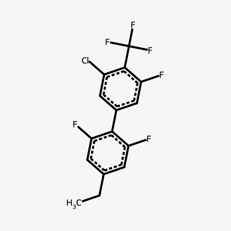 CCc1cc(F)c(-c2cc(F)c(C(F)(F)F)c(Cl)c2)c(F)c1